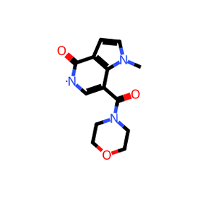 Cn1ccc2c1C(C(=O)N1CCOCC1)=C[N]C2=O